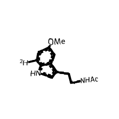 [2H]c1cc(OC)cc2c(CCNC(C)=O)c[nH]c12